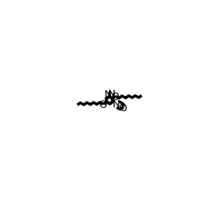 CCCCCCCCOc1ccc(OCCCCCCCC)c(N2CCOCC2)c1.N#N